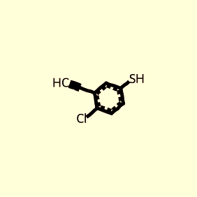 C#Cc1cc(S)ccc1Cl